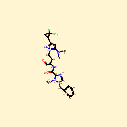 CN(C)c1cc(C2CC2(F)F)nn1CCC(C=O)NC(=O)C1N=CN(Cc2ccccc2)N1C